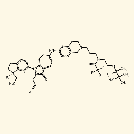 C=CCn1c(=O)c2c(n1-c1ccc3c(n1)[C@@](O)(CC)CC3)=CCC(Nc1ccc3c(c1)CCN(CCCN(CCO[Si](C)(C)C(C)(C)C)C(=O)C(F)(F)F)C3)=NC=2